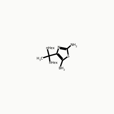 Bc1sc(N)nc1C(C)(CCCCCC)CCCCCC